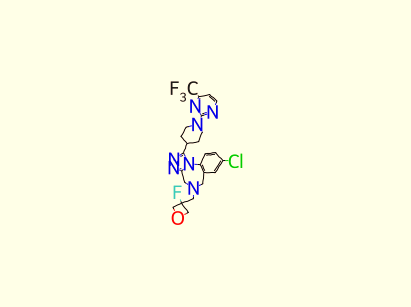 FC1(CN2Cc3cc(Cl)ccc3-n3c(nnc3C3CCN(c4nccc(C(F)(F)F)n4)CC3)C2)COC1